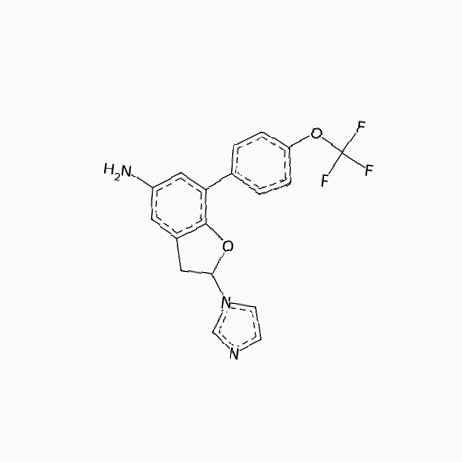 Nc1cc2c(c(-c3ccc(OC(F)(F)F)cc3)c1)OC(n1ccnc1)C2